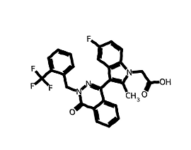 Cc1c(-c2nn(Cc3ccccc3C(F)(F)F)c(=O)c3ccccc23)c2cc(F)ccc2n1CC(=O)O